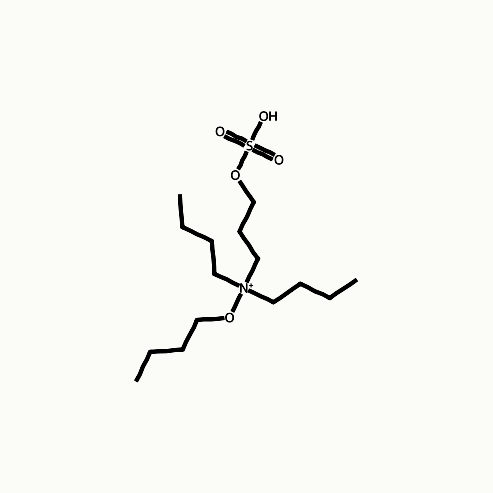 CCCCO[N+](CCCC)(CCCC)CCCOS(=O)(=O)O